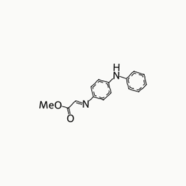 COC(=O)C=Nc1ccc(Nc2ccccc2)cc1